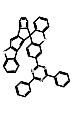 c1ccc(-c2nc(-c3ccccc3)nc(-c3ccc4c(c3)Oc3ccccc3C43c4ccccc4-c4cc5sc6ccccc6c5cc43)n2)cc1